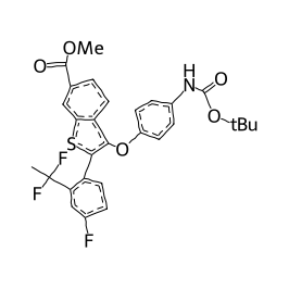 COC(=O)c1ccc2c(Oc3ccc(NC(=O)OC(C)(C)C)cc3)c(-c3ccc(F)cc3C(C)(F)F)sc2c1